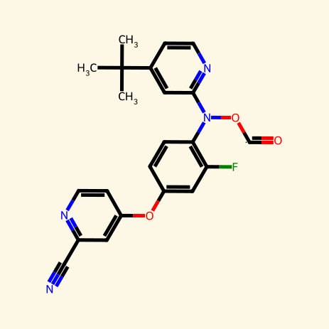 CC(C)(C)c1ccnc(N(O[C]=O)c2ccc(Oc3ccnc(C#N)c3)cc2F)c1